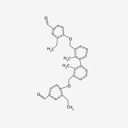 CCc1cc(C=O)ccc1OCc1cccc(-c2cccc(COc3ccc(C=O)cc3CC)c2C)c1C